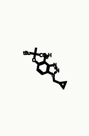 CC(C)(C)C(C)(Oc1ccc2c(nnn2CC2CC2)c1Br)C(=O)O